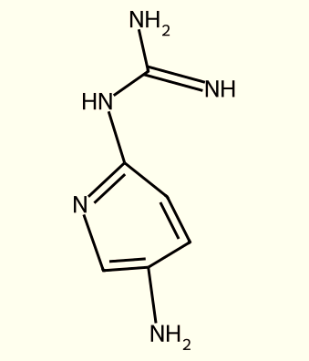 N=C(N)Nc1ccc(N)cn1